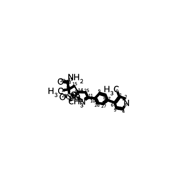 Cc1cnccc1-c1ccc(C2=NO[C@@H](CC(C)(C(N)=O)S(C)(=O)=O)C2)cc1